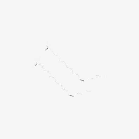 CCCC/C=C\CCCCCCCCCC(=O)O.CCCC/C=C\CCCCCCCCOC(C)=O